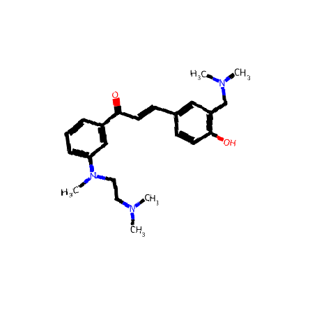 CN(C)CCN(C)c1cccc(C(=O)C=Cc2ccc(O)c(CN(C)C)c2)c1